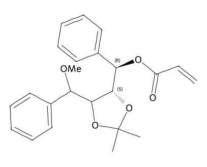 C=CC(=O)O[C@H](c1ccccc1)[C@@H]1OC(C)(C)OC1C(OC)c1ccccc1